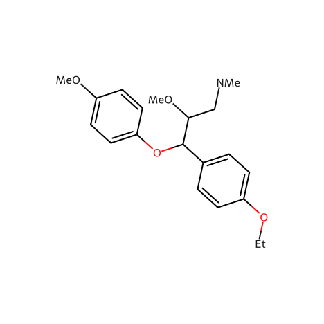 CCOc1ccc(C(Oc2ccc(OC)cc2)C(CNC)OC)cc1